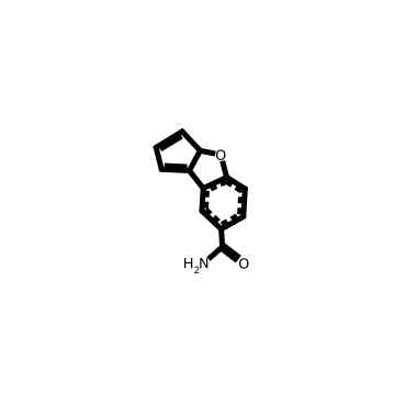 NC(=O)c1ccc2c(c1)C1=CC=CC1O2